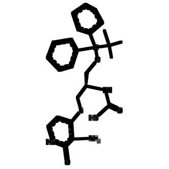 CC(C)(C)[Si](OC[C@H](CSc1cc[nH]c(=O)c1N)NC(=O)O)(c1ccccc1)c1ccccc1